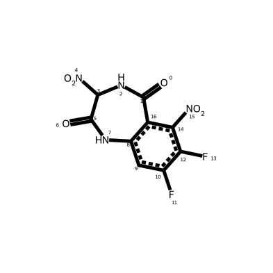 O=C1NC([N+](=O)[O-])C(=O)Nc2cc(F)c(F)c([N+](=O)[O-])c21